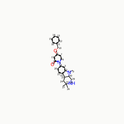 CN1c2cc(-n3ccc(OCc4ccccc4)cc3=O)ccc2C2CC(C)(C)NCC21